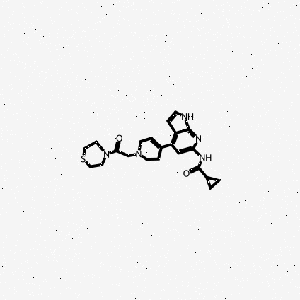 O=C(Nc1cc(C2=CCN(CC(=O)N3CCSCC3)CC2)c2cc[nH]c2n1)C1CC1